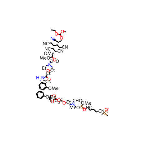 CC#N.CCC#N.CCC(N)=O.CCOC(=O)OC.CCOC(=O)OCC.CCOCC.CN(C)C=O.CN(C)C=O.COC(=O)OC.COS(=O)OC.COc1ccccc1.COc1ccccc1.C[S+](C)[O-].N#CCCC#N.N#CCCCC#N.N#CCCCCC#N.O=c1occo1